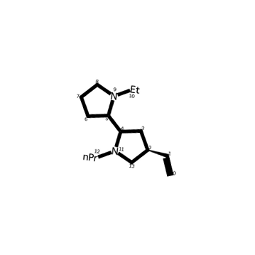 C=C[C@@H]1CC(C2CCCN2CC)N(CCC)C1